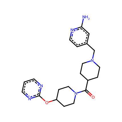 Nc1cc(CN2CCC(C(=O)N3CCC(Oc4ncccn4)CC3)CC2)ccn1